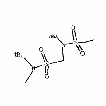 CN(C(C)(C)C)S(=O)(=O)CN(C(C)(C)C)S(C)(=O)=O